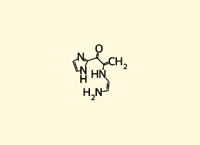 C=C(N/C=C\N)C(=O)c1ncc[nH]1